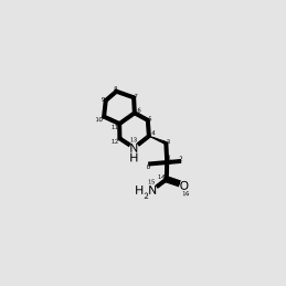 CC(C)(C[C@@H]1CC2CCCCC2CN1)C(N)=O